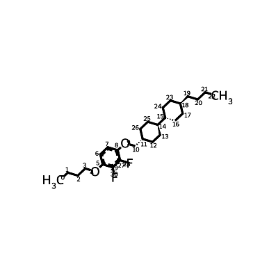 CCCCOc1ccc(OC[C@H]2CC[C@H]([C@H]3CC[C@H](CCCC)CC3)CC2)c(F)c1F